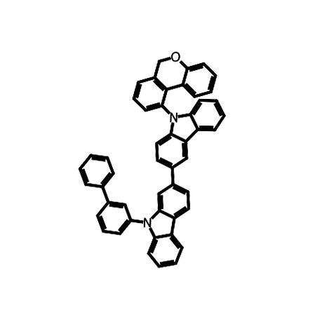 c1ccc(-c2cccc(-n3c4ccccc4c4ccc(-c5ccc6c(c5)c5ccccc5n6-c5cccc6c5-c5ccccc5OC6)cc43)c2)cc1